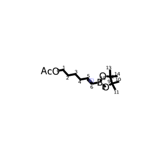 CC(=O)OCCCC/C=C/B1OC(C)(C)C(C)(C)O1